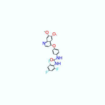 COc1cc2nccc(Oc3ccc(NC(=O)Nc4c(F)cc(F)cc4F)cc3)c2cc1OC